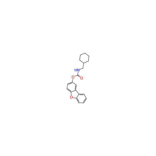 O=C(NCC1CCCCC1)Oc1ccc2oc3ccccc3c2c1